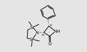 C[Si]1(C)CC[Si](C)(C)N1[C@H]1C(=O)N[C@H]1c1ccccc1